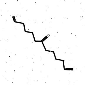 C=CCCCCC(=O)CCCCC=C